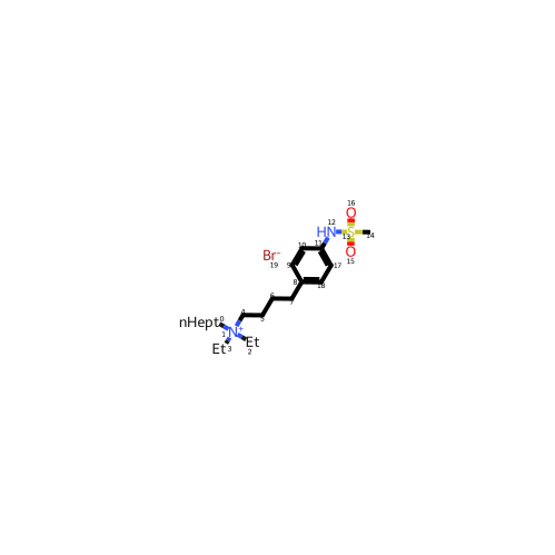 CCCCCCC[N+](CC)(CC)CCCCc1ccc(NS(C)(=O)=O)cc1.[Br-]